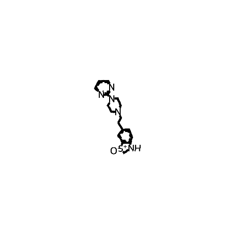 [O-][S+]1CNc2ccc(CCN3CCN(c4ncccn4)CC3)cc21